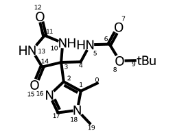 Cc1c(C2(CNC(=O)OC(C)(C)C)NC(=O)NC2=O)ncn1C